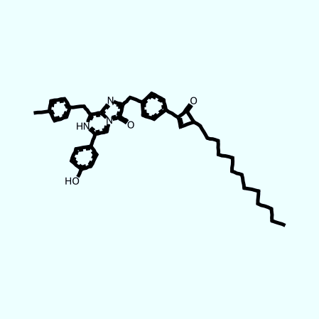 CCCCCCCCCCCCCC1C=C(c2ccc(Cc3nc4c(Cc5ccc(C)cc5)[nH]c(-c5ccc(O)cc5)cn-4c3=O)cc2)C1=O